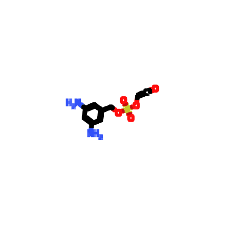 Nc1cc(N)cc(COS(=O)(=O)OC=C=O)c1